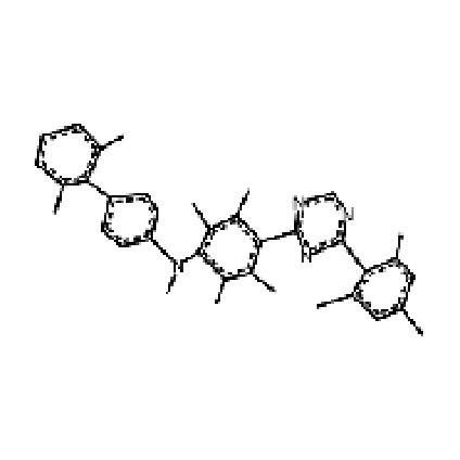 Cc1cc(C)c(-c2ncnc(-c3c(C)c(C)c(N(C)c4ccc(-c5c(C)cccc5C)cc4)c(C)c3C)n2)c(C)c1